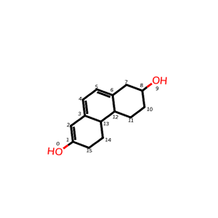 OC1=CC2=CC=C3CC(O)CCC3C2CC1